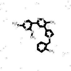 COc1ncc(-c2cc(-c3ccn(Cc4ccccc4C)c3)c(C)nn2)c(OC)n1